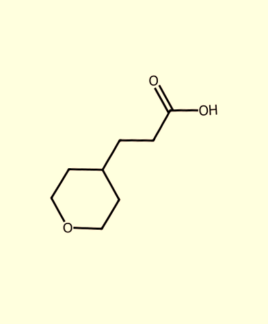 O=C(O)CCC1CCOCC1